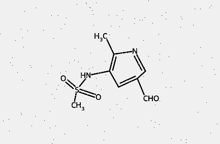 Cc1ncc(C=O)cc1NS(C)(=O)=O